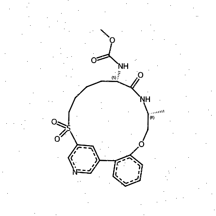 COC(=O)N[C@H]1CCCCS(=O)(=O)c2cncc(c2)-c2ccccc2OC[C@@H](C)NC1=O